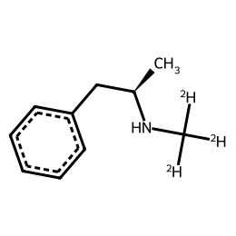 [2H]C([2H])([2H])N[C@H](C)Cc1ccccc1